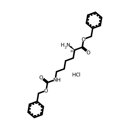 Cl.N[C@H](CCCCNC(=O)OCc1ccccc1)C(=O)OCc1ccccc1